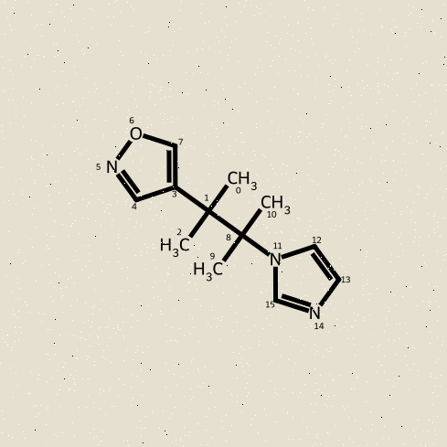 CC(C)(c1cnoc1)C(C)(C)n1ccnc1